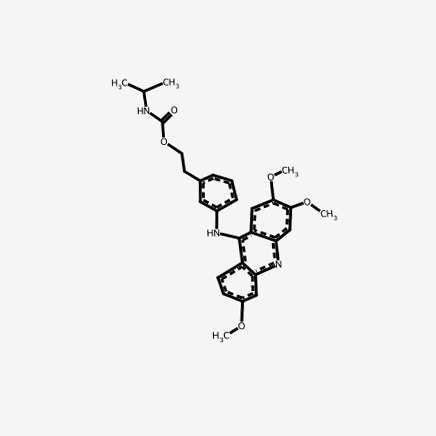 COc1ccc2c(Nc3cccc(CCOC(=O)NC(C)C)c3)c3cc(OC)c(OC)cc3nc2c1